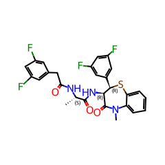 C[C@H](NC(=O)Cc1cc(F)cc(F)c1)C(=O)N[C@@H]1C(=O)N(C)c2ccccc2S[C@@H]1c1cc(F)cc(F)c1